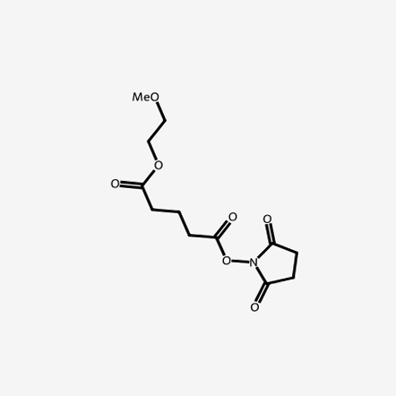 COCCOC(=O)CCCC(=O)ON1C(=O)CCC1=O